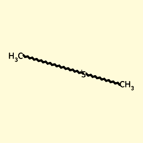 CCCCCCCCCCCCCCCCCCCCCCCCCCC[CH]SCCCCCCCCCCCCCCCCC